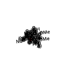 COc1ccc(C(OC[C@H]2O[C@@H](n3cc(C)c(=O)[nH]c3=O)C[C@@H]2OP(=O)(OC[C@H]2O[C@@H](n3cnc4c(NC(=O)c5ccccc5)ncnc43)C[C@@H]2OP(=O)(OC[C@H]2O[C@@H](n3cnc4c(=O)[nH]c(NC(=O)C(C)C)nc43)C[C@@H]2OP(OCCC#N)N(C(C)C)C(C)C)Oc2ccccc2Cl)Oc2ccccc2Cl)(c2ccccc2)c2ccc(OC)cc2)cc1